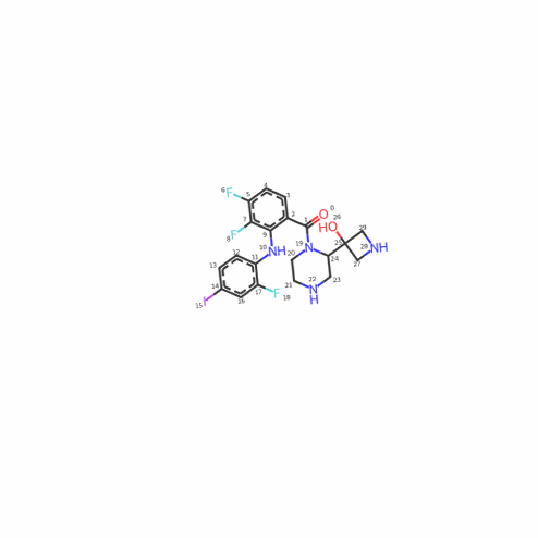 O=C(c1ccc(F)c(F)c1Nc1ccc(I)cc1F)N1CCNCC1C1(O)CNC1